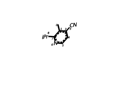 Cc1c(C#N)ccnc1C(C)C